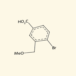 COCc1cc(C(=O)O)ccc1Br